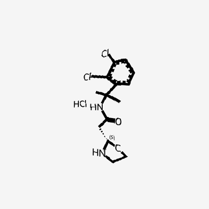 CC(C)(NC(=O)C[C@@H]1CCCN1)c1cccc(Cl)c1Cl.Cl